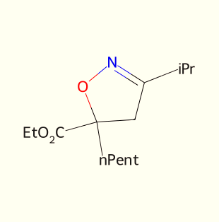 CCCCCC1(C(=O)OCC)CC(C(C)C)=NO1